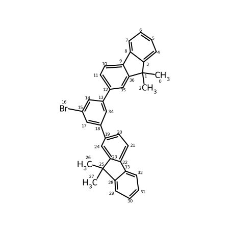 CC1(C)c2ccccc2-c2ccc(-c3cc(Br)cc(-c4ccc5c(c4)C(C)(C)c4ccccc4-5)c3)cc21